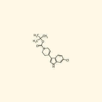 CC(C)(C)OC(=O)N1CC=C(c2c[nH]c3cc(Cl)ccc23)CC1